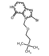 C[Si](C)(C)CCOCn1c(Br)nc2cc[nH]c(=O)c21